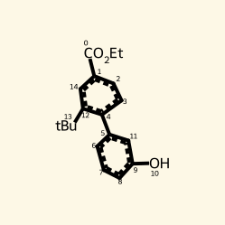 CCOC(=O)c1ccc(-c2cccc(O)c2)c(C(C)(C)C)c1